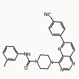 Cc1cccc(NC(=O)N2CCN(c3ncnc4ccc(-c5ccc(C#N)cc5)nc34)CC2)c1